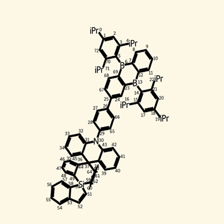 CC(C)c1cc(C(C)C)c(B2c3ccccc3B(c3c(C(C)C)cc(C(C)C)cc3C(C)C)c3cc(-c4ccc(N5c6ccccc6C6(c7ccccc75)c5ccccc5[Si]5(C=Cc7ccccc75)c5ccccc56)cc4)ccc32)c(C(C)C)c1